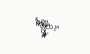 [N-]=[N+]=CC(=O)CCC(NC(=O)C(O)c1cncc(F)c1)C(=O)O